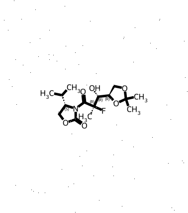 CC(C)[C@H]1COC(=O)N1C(=O)[C@](C)(F)[C@H](O)[C@H]1COC(C)(C)O1